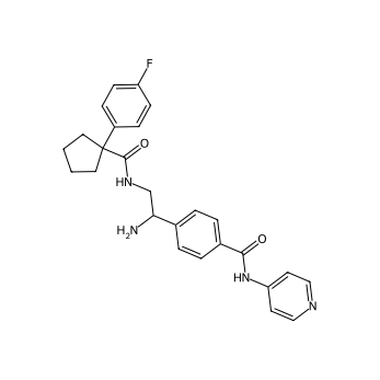 NC(CNC(=O)C1(c2ccc(F)cc2)CCCC1)c1ccc(C(=O)Nc2ccncc2)cc1